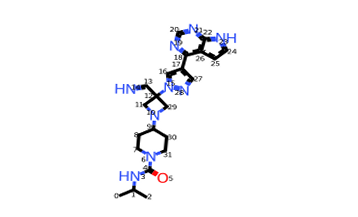 CC(C)NC(=O)N1CCC(N2CC(C=N)(n3cc(-c4ncnc5[nH]ccc45)cn3)C2)CC1